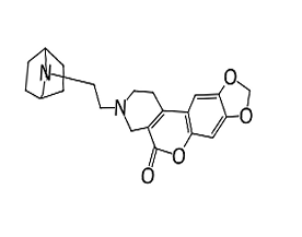 O=c1oc2cc3c(cc2c2c1CN(CCN1CC4CCC(CC4)C1)CC2)OCO3